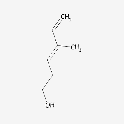 C=C/C(C)=C/CCO